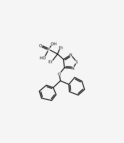 CCC(CC)(c1nsnc1OC(c1ccccc1)c1ccccc1)P(=O)(O)O